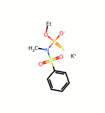 CCOP([O-])(=S)N(C)S(=O)(=O)c1ccccc1.[K+]